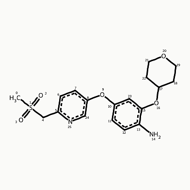 CS(=O)(=O)Cc1ccc(Oc2ccc(N)c(OC3CCOCC3)c2)cn1